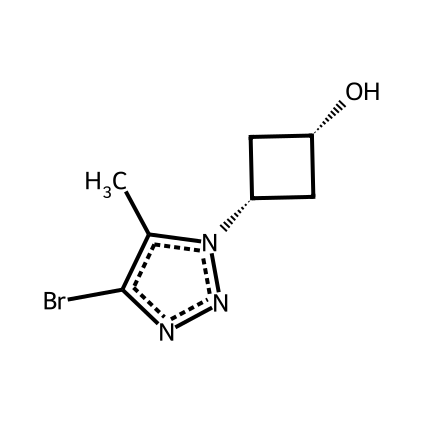 Cc1c(Br)nnn1[C@H]1C[C@@H](O)C1